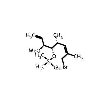 C=C[C@H](OC)[C@@H](O[Si](C)(C)C(C)(C)C)[C@H](C)/C=C(/C)CBr